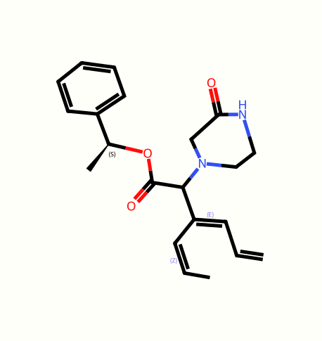 C=C/C=C(\C=C/C)C(C(=O)O[C@@H](C)c1ccccc1)N1CCNC(=O)C1